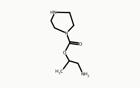 CC(CN)OC(=O)N1CCNCC1